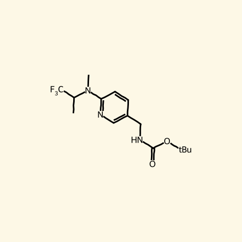 CC(N(C)c1ccc(CNC(=O)OC(C)(C)C)cn1)C(F)(F)F